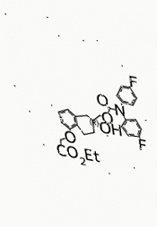 CCOC(=O)COc1cccc2c1CC[C@](O)(COC(=O)N(c1ccc(F)cc1)c1ccc(F)cc1)C2